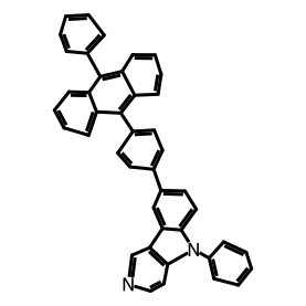 c1ccc(-c2c3ccccc3c(-c3ccc(-c4ccc5c(c4)c4cnccc4n5-c4ccccc4)cc3)c3ccccc23)cc1